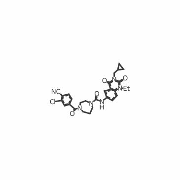 CCn1c(=O)n(CC2CC2)c(=O)c2cc(NC(=O)N3CCCN(C(=O)c4ccc(C#N)c(Cl)c4)CC3)ccc21